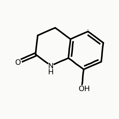 O=C1CCc2[c]ccc(O)c2N1